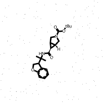 CC(C)(C)OC(=O)N1CC2[C@H](C1)[C@H]2C(=O)NC(C)(C)C1COc2ccccc21